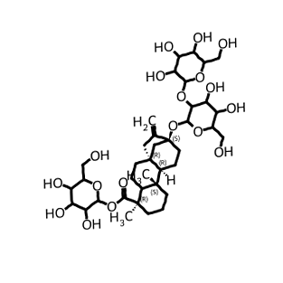 C=C1C[C@@]23CCC4[C@](C)(C(=O)OC5OC(CO)C(O)C(O)C5O)CCC[C@@]4(C)[C@@H]2CC[C@]1(OC1OC(CO)C(O)C(O)C1OC1OC(CO)C(O)C(O)C1O)C3